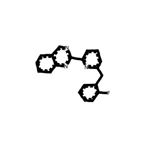 Fc1ccccc1Cc1cccc(-c2ncc3ccccc3n2)n1